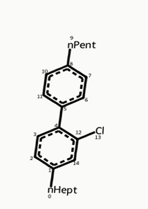 CCCCCCCc1ccc(-c2ccc(CCCCC)cc2)c(Cl)c1